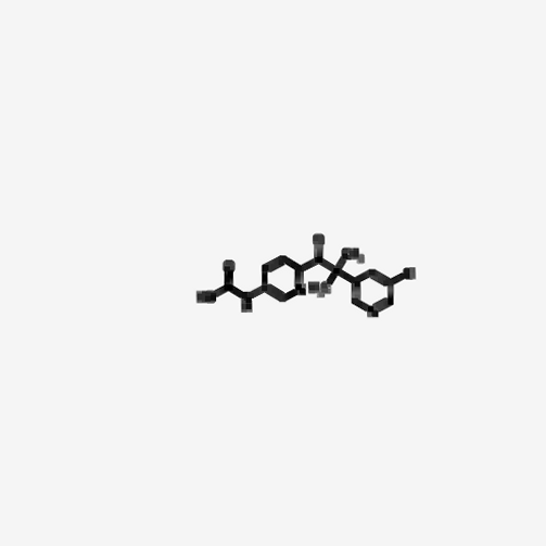 CC(C)(C(=O)c1ccc(NC(=O)O)cn1)c1cncc(Cl)c1